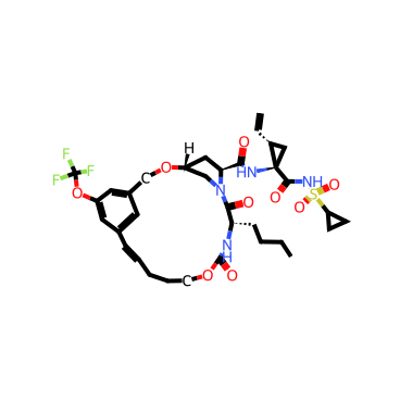 C=C[C@@H]1C[C@]1(NC(=O)[C@@H]1C[C@@H]2CN1C(=O)[C@H](CCCC)NC(=O)OCCC/C=C/c1cc(cc(OC(F)(F)F)c1)CO2)C(=O)NS(=O)(=O)C1CC1